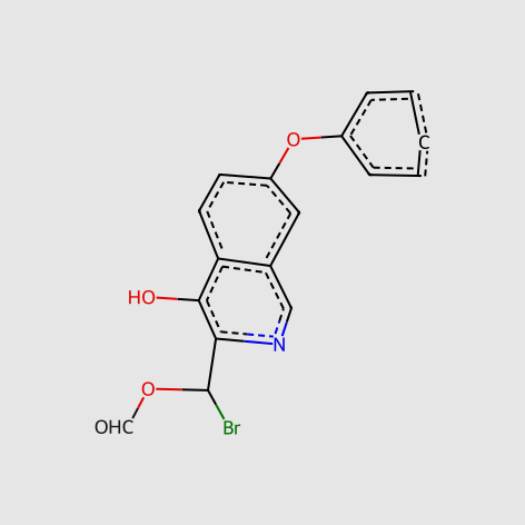 O=COC(Br)c1ncc2cc(Oc3ccccc3)ccc2c1O